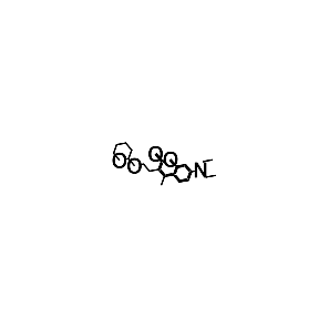 CCN(CC)c1ccc2c(C)c(CCOC3CCCCO3)c(=O)oc2c1